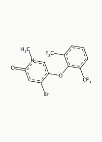 Cn1cc(Oc2c(C(F)(F)F)cccc2C(F)(F)F)c(Br)cc1=O